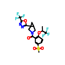 CC(Oc1ccc(S(C)(=O)=O)cc1C(=O)N1CC2CC2(c2nnc(C(F)(F)F)o2)C1)C(F)(F)F